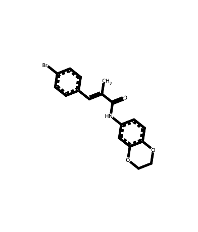 CC(=Cc1ccc(Br)cc1)C(=O)Nc1ccc2c(c1)OCCO2